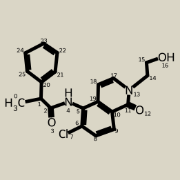 CC(C(=O)Nc1c(Cl)ccc2c(=O)n(CCO)ccc12)c1ccccc1